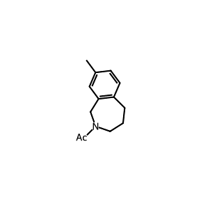 CC(=O)N1CCCc2ccc(C)cc2C1